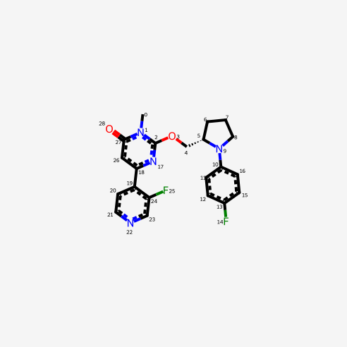 Cn1c(OC[C@@H]2CCCN2c2ccc(F)cc2)nc(-c2ccncc2F)cc1=O